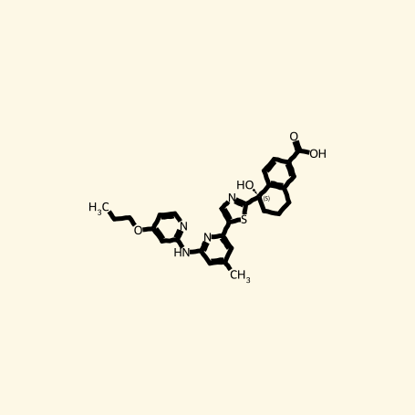 CCCOc1ccnc(Nc2cc(C)cc(-c3cnc([C@]4(O)CCCc5cc(C(=O)O)ccc54)s3)n2)c1